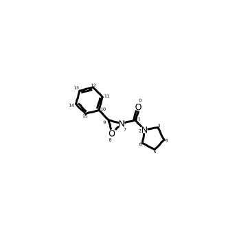 O=C(N1CCCC1)N1OC1c1ccccc1